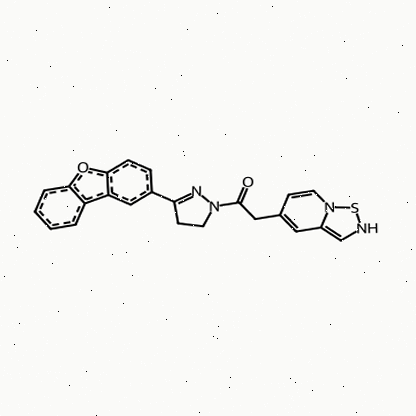 O=C(CC1=CC2=CNSN2C=C1)N1CCC(c2ccc3oc4ccccc4c3c2)=N1